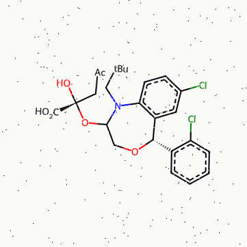 CC(=O)C[C@@](O)(OC1CO[C@@H](c2ccccc2Cl)c2cc(Cl)ccc2N1CC(C)(C)C)C(=O)O